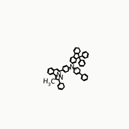 Cc1c(C2=CC=CCC2)nn2c(C3=CC[C@H](N(c4ccc5c(c4)C(c4ccccc4)(c4ccccc4)C4=C5C=CCC4)[C@@H]4CC=C(c5ccccc5)CC4)C=C3)cc3ccccc3c12